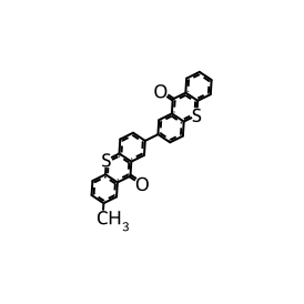 Cc1ccc2sc3ccc(-c4ccc5sc6ccccc6c(=O)c5c4)cc3c(=O)c2c1